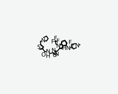 CN1CC[C@@H](Nc2cccc3c2cc(-c2noc(CNC(=O)c4csc(CN5CCCC5)c4)n2)n3CC(F)(F)F)[C@@H](F)C1